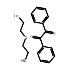 O=C(C(=O)c1ccccc1)c1ccccc1.OCCOCCO